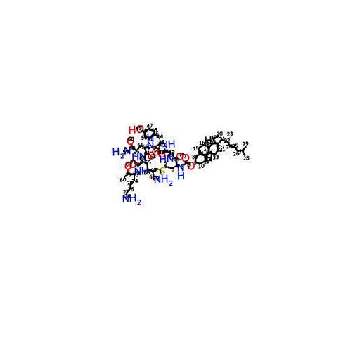 CSCC[C@H](NC(=O)O[C@H]1CC[C@@]2(C)C(=CC[C@H]3C4CC[C@H]([C@H](C)CCCC(C)C)[C@@]4(C)CC[C@@H]32)C1)C(=O)NCC(=O)N[C@@H](Cc1ccc(O)cc1)C(=O)N[C@@H](CCC(N)=O)C(=O)N[C@@H](CCCCN)C(=O)N[C@@H](CCCCN)C(C)=O